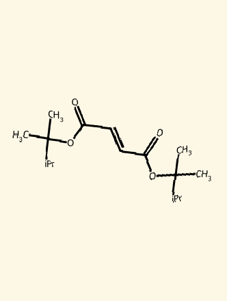 CC(C)C(C)(C)OC(=O)C=CC(=O)OC(C)(C)C(C)C